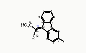 Cc1ccc2c(c1)-c1ccccc1/C2=C(/C#N)C(=O)O